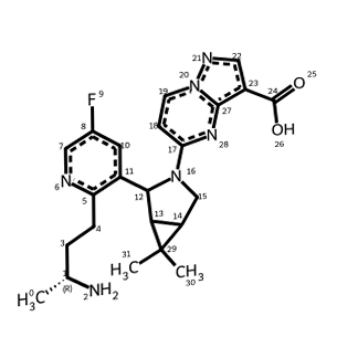 C[C@@H](N)CCc1ncc(F)cc1C1C2C(CN1c1ccn3ncc(C(=O)O)c3n1)C2(C)C